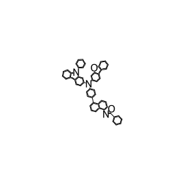 c1ccc(-c2nc3c(ccc4c(-c5ccc(N(c6ccc7c(c6)oc6ccccc67)c6ccc7c8ccccc8n(-c8ccccc8)c7c6)cc5)cccc43)o2)cc1